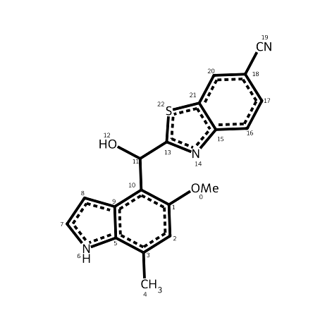 COc1cc(C)c2[nH]ccc2c1C(O)c1nc2ccc(C#N)cc2s1